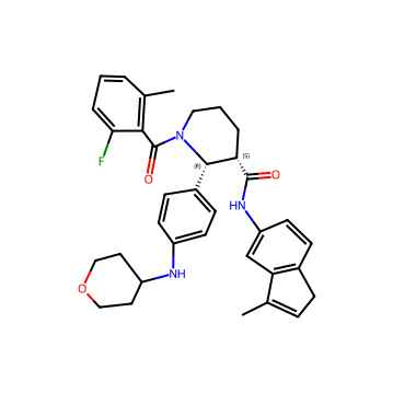 CC1=CCc2ccc(NC(=O)[C@H]3CCCN(C(=O)c4c(C)cccc4F)[C@H]3c3ccc(NC4CCOCC4)cc3)cc21